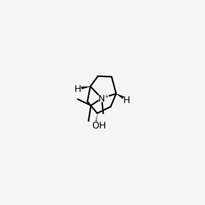 CC(C)[N+]1(C)[C@@H]2CC[C@H]1C[C@@H](O)C2